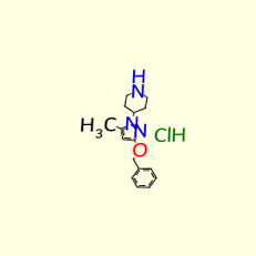 Cc1cc(OCc2ccccc2)nn1C1CCNCC1.Cl